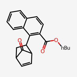 CCCCOC(=O)c1ccc2ccccc2c1C1CC2C=CC1C2=O